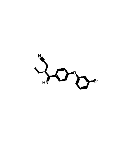 CC[C@@H](CC#N)C(=N)c1ccc(Oc2cccc(Br)c2)cc1